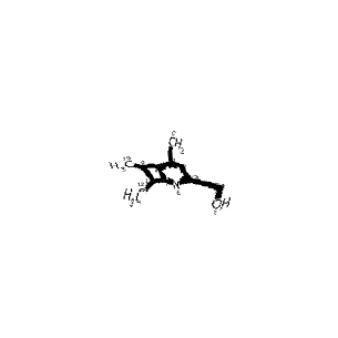 Cc1cc(CO)nc2c1C(C)C2C